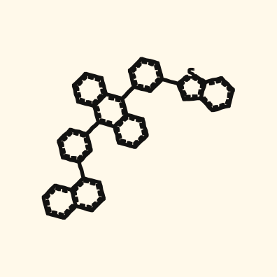 c1cc(-c2cc3ccccc3s2)cc(-c2c3ccccc3c(-c3cccc(-c4cccc5ccccc45)c3)c3ccccc23)c1